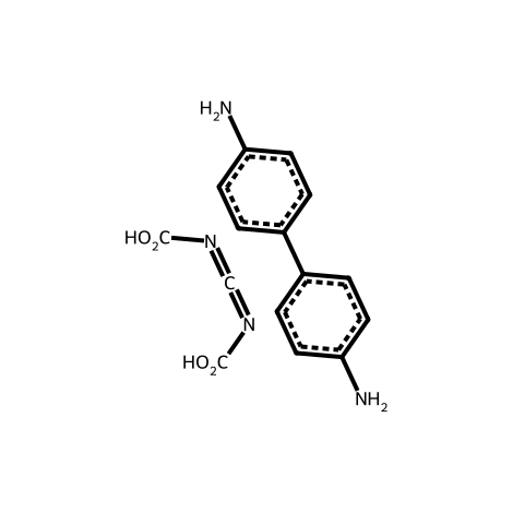 Nc1ccc(-c2ccc(N)cc2)cc1.O=C(O)N=C=NC(=O)O